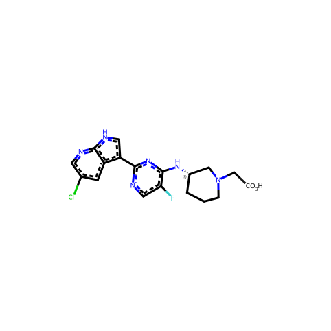 O=C(O)CN1CCC[C@H](Nc2nc(-c3c[nH]c4ncc(Cl)cc34)ncc2F)C1